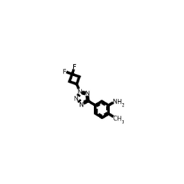 Cc1ccc(-c2nnn(C3CC(F)(F)C3)n2)cc1N